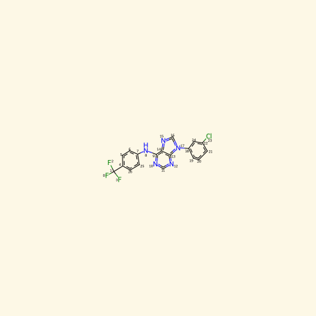 FC(F)(F)c1ccc(Nc2ncnc3c2ncn3-c2cccc(Cl)c2)cc1